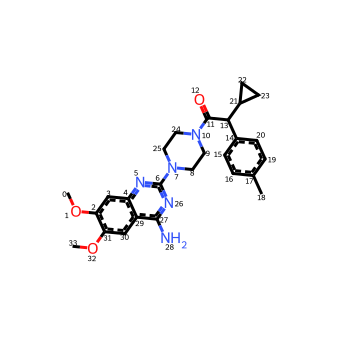 COc1cc2nc(N3CCN(C(=O)C(c4ccc(C)cc4)C4CC4)CC3)nc(N)c2cc1OC